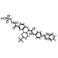 CC(C)(C)C1CCC(C(Cc2ccc(C(=O)NCCS(=O)(=O)O)cc2)C(=O)Nc2ccc(-c3nc4ccccc4s3)cc2)CC1